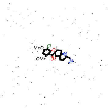 COc1cc(OC)c2c(c1Cl)O[C@@]1(C(=O)c3ccc(CN(C)C)nc3C[C@H]1C)C2=O